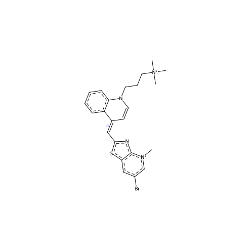 C[n+]1cc(Br)cc2sc(/C=C3\C=CN(CCC[N+](C)(C)C)c4ccccc43)nc21